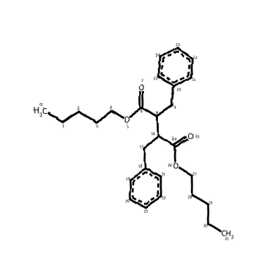 CCCCCOC(=O)C(Cc1ccccc1)C(Cc1ccccc1)C(=O)OCCCCC